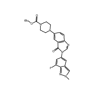 Cn1cc2cc(-n3cnc4ccc(N5CCN(C(=O)OC(C)(C)C)CC5)cc4c3=O)cc(F)c2n1